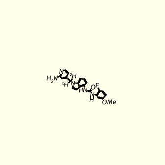 [2H]C([2H])(c1ccnc(N)c1)n1ccc2c(NC(=O)Nc3cc(OC)ccc3F)cccc21